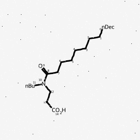 CCCCCCCCCCCCCCCCCC(=O)N(CCCC)CCC(=O)O